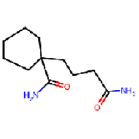 NC(=O)CCCC1(C(N)=O)CCCCC1